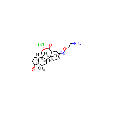 C[C@]12CC/C(=N/OCCN)CC1C(=O)OC[C@@H]1[C@@H]2CC[C@]2(C)C(=O)CC[C@@H]12.Cl